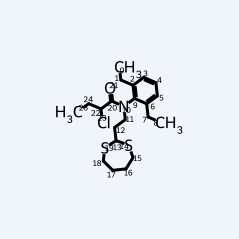 CCc1cccc(CC)c1N(CCC1SCCCCS1)C(=O)C(Cl)CC